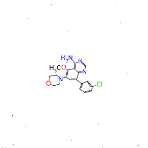 COc1c(N2CCOCC2)cc(-c2cccc(Cl)c2)c2ncnc(N)c12